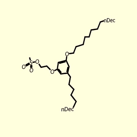 CCCCCCCCCCCCCCCCCCOc1cc(CCCCCCCCCCCCCCC)cc(OCCOS(C)(=O)=O)c1